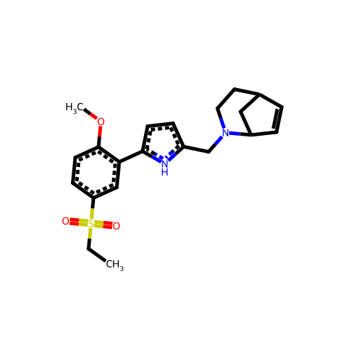 CCS(=O)(=O)c1ccc(OC)c(-c2ccc(CN3CCC4C=CC3C4)[nH]2)c1